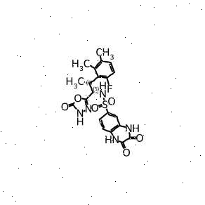 Cc1ccc(F)c([C@@H](C)[C@H](NS(=O)(=O)c2ccc3[nH]c(=O)c(=O)[nH]c3c2)c2n[nH]c(=O)o2)c1C